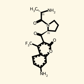 C[C@H](N)C(=O)N1CCC[C@H]1C(=O)c1c(C(F)(F)F)c2ccc(N)cc2oc1=O